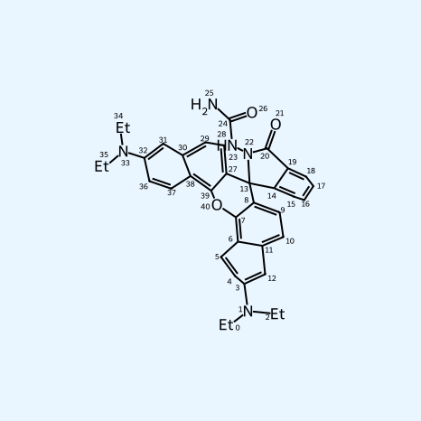 CCN(CC)c1ccc2c3c(ccc2c1)C1(c2ccccc2C(=O)N1NC(N)=O)c1ccc2cc(N(CC)CC)ccc2c1O3